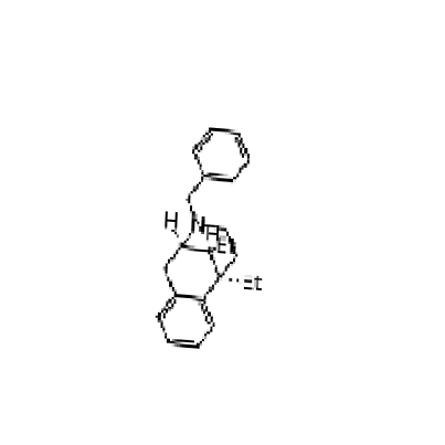 CC[C@@H]1[C@H]2Cc3ccccc3[C@]1(CC)CCN2Cc1ccccc1